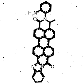 CC1c2ccc3c4ccc5c(=O)n6c7c(nc6c6ccc(c8ccc(c2c38)C(=O)N1c1ccccc1N)c4c56)=CCCC=7